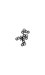 C1=CC2=C(C=CC(c3nc(-c4ccc5oc6ccccc6c5c4)nc(-c4cc(-c5cccc6oc7cc8ccccc8cc7c56)cc5oc6ccccc6c45)n3)C2)CC1